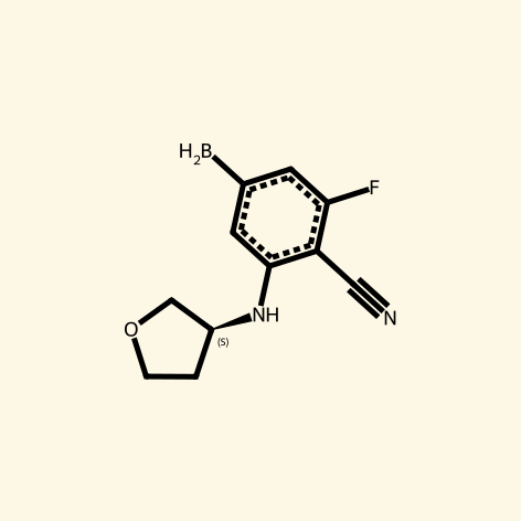 Bc1cc(F)c(C#N)c(N[C@H]2CCOC2)c1